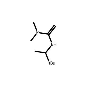 C=C(BC(C)C(C)(C)C)P(C)C